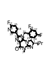 CC(C)[C@@H]1CN2C(=N1)N(C)C(=O)c1nc(-c3ccc(F)nc3)n(Cc3ccc(F)cc3F)c12